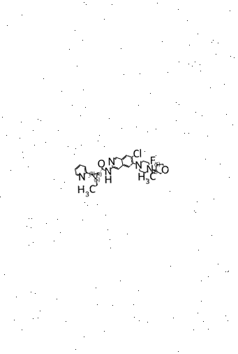 CC[C@@H]1[C@@H](C(=O)Nc2cc3cc(N4CCN([C@@]5(C)COC[C@H]5F)CC4)c(Cl)cc3cn2)[C@@H]1c1ccccn1